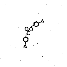 O=C(OCc1ccc(C2CC2)cc1)OCc1ccc(C2CC2)cc1